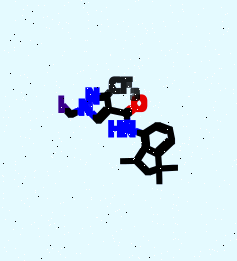 CC1CC(C)(C)c2cccc(NC(=O)c3cn(CI)nc3C(F)(F)F)c21